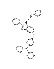 c1ccc(SCCn2c(-c3ccccc3)nc3cc(CN4CCN(C(c5ccccc5)c5ccccc5)CC4)ccc32)cc1